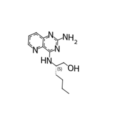 CCCC[C@@H](CO)Nc1nc(N)nc2cccnc12